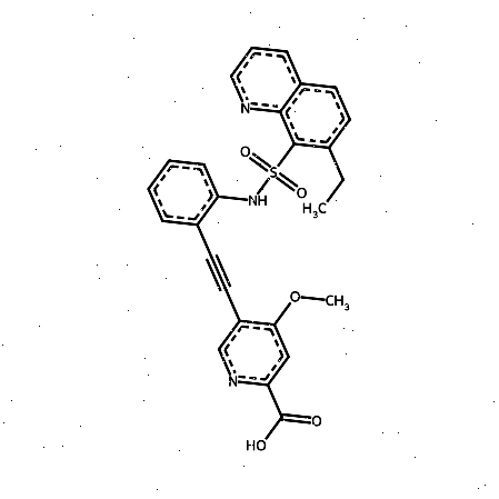 CCc1ccc2cccnc2c1S(=O)(=O)Nc1ccccc1C#Cc1cnc(C(=O)O)cc1OC